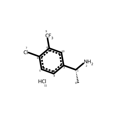 C[C@@H](N)c1ccc(Cl)c(C(F)(F)F)c1.Cl